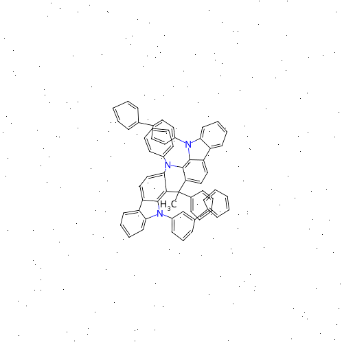 CC1(c2ccccc2)c2ccc3c4ccccc4n(-c4ccc(-c5ccccc5)cc4)c3c2N(c2ccccc2)c2ccc3c4ccccc4n(-c4cccc(-c5ccccc5)c4)c3c21